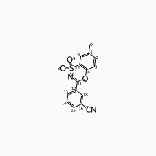 Cc1ccc2c(c1)S(=O)(=O)N=C(c1cccc(C#N)c1)O2